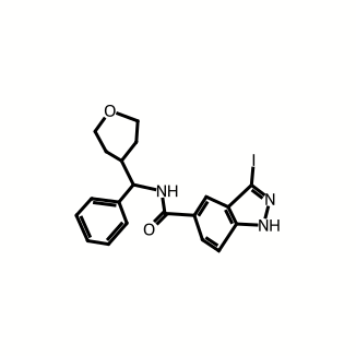 O=C(NC(c1ccccc1)C1CCOCC1)c1ccc2[nH]nc(I)c2c1